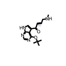 CNC/C=C/C(=O)c1c[nH]c2ncnc(OC(C)(C)C)c12